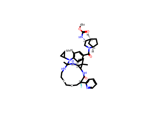 CNc1cc(C(=O)N2C[C@H](NC(=O)OC(C)(C)C)[C@H]3CC[C@@H]2C3)cc(OC)c1N(C1CC1)C1(C)NCCCCCC[C@@](F)(c2ccccn2)C(=O)NC2[C@@H](N1)C2(C)C